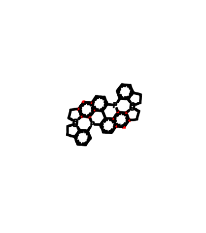 c1cc2c(c(P(c3cccc4c3OCC4)c3ccc4ccccc4c3-c3c(P(c4cccc5c4OCC5)c4cccc5c4OCC5)ccc4ccccc34)c1)OCC2